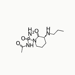 CCCN[C@H]1CCCN(P(N)(=O)NC(C)=O)C1=O